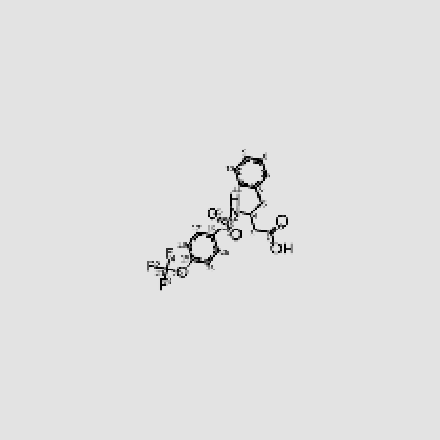 O=C(O)CC(Cc1ccccc1)NS(=O)(=O)c1ccc(OC(F)(F)F)cc1